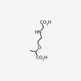 CC(OCCNCC(=O)O)C(=O)O